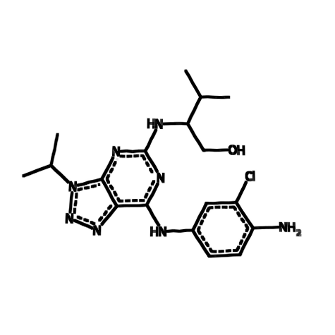 CC(C)C(CO)Nc1nc(Nc2ccc(N)c(Cl)c2)c2nnn(C(C)C)c2n1